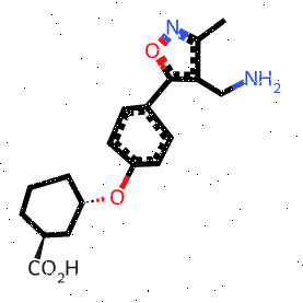 Cc1noc(-c2ccc(O[C@H]3CCC[C@H](C(=O)O)C3)cc2)c1CN